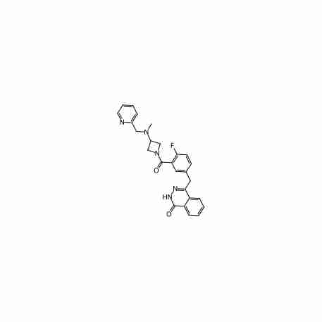 CN(Cc1ccccn1)C1CN(C(=O)c2cc(Cc3n[nH]c(=O)c4ccccc34)ccc2F)C1